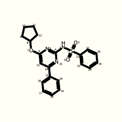 O=S(=O)(Nc1nc(OC2CCCC2)cc(-c2ccccc2)n1)c1ccccc1